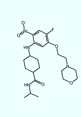 CC(C)NC(=O)C1CCC(Nc2cc(OCCN3CCOCC3)c(F)cc2[N+](=O)[O-])CC1